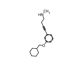 CNCCC#Cc1cccc(OCC2CCCCC2)c1